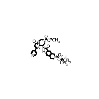 CCOC(=O)N1CCn2c(nc(-c3ccncc3)cc2=O)C(NC(=O)c2ccc3c(c2)CN(C(=O)OC(C)(C)C)CC3)C1